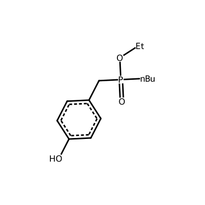 CCCCP(=O)(Cc1ccc(O)cc1)OCC